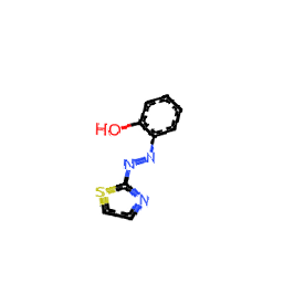 Oc1ccccc1N=Nc1nccs1